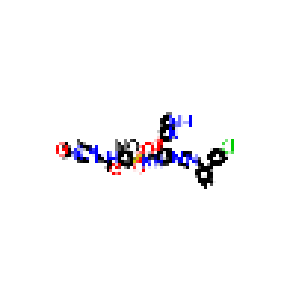 C[C@@H]1CN(CC[C@@H]2COc3cc(S(=O)(=O)NC(=O)c4ccc(N5CCN(CC6=C(c7ccc(Cl)cc7)CC(C)(C)CC6)CC5)cc4Oc4cnc5[nH]ccc5c4)cc([N+](=O)[O-])c3N2)CCN1C1COC1